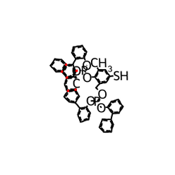 Cc1cc(S)cc(COP(Oc2ccccc2-c2ccccc2)Oc2ccccc2-c2ccccc2)c1OP(Oc1ccccc1-c1ccccc1)Oc1ccccc1-c1ccccc1